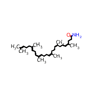 CC(C)=CCCC(C)=CCCC(C)=CCCC=C(C)CCC=C(C)CCC=C(C)CCC(N)=O